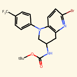 CC(C)(C)OC(=O)NC1Cc2nc(Br)ccc2N(c2ccc(C(F)(F)F)cc2)C1